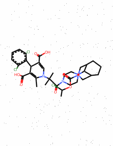 CC1=C(C(=O)O)C(c2c(Cl)cccc2Cl)C(C(=O)O)=CN1C(C)(C)C(=O)N1CCN(C2C3CCCC2CN(C(=O)OC(C)Cl)C3)CC1